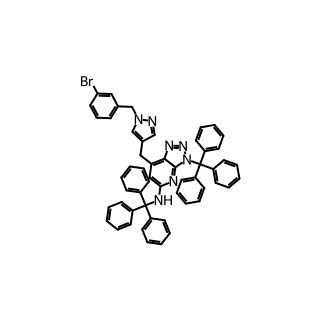 Brc1cccc(Cn2cc(Cc3cc(NC(c4ccccc4)(c4ccccc4)c4ccccc4)nc4c3nnn4C(c3ccccc3)(c3ccccc3)c3ccccc3)cn2)c1